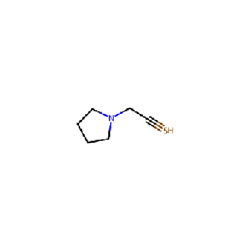 [SH]#CCN1CCCC1